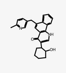 Cc1ccc(Cc2cc3c(=O)c(C4CCCCC4O)c[nH]c3c3ccccc23)cn1